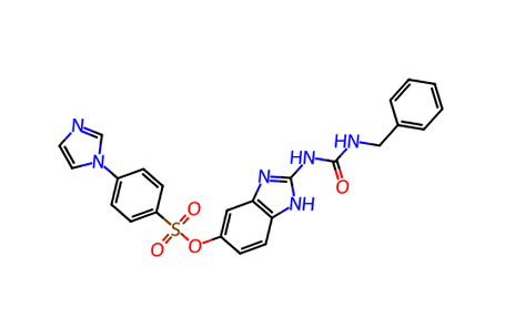 O=C(NCc1ccccc1)Nc1nc2cc(OS(=O)(=O)c3ccc(-n4ccnc4)cc3)ccc2[nH]1